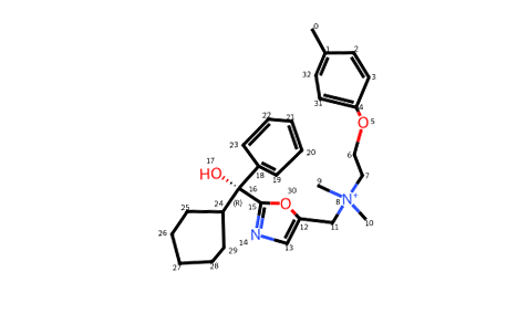 Cc1ccc(OCC[N+](C)(C)Cc2cnc([C@](O)(c3ccccc3)C3CCCCC3)o2)cc1